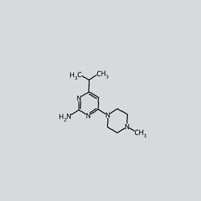 CC(C)c1cc(N2CCN(C)CC2)nc(N)n1